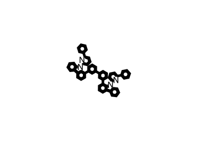 c1ccc(-c2cccc(-n3c4ccccc4c4cccc(-c5cccc(-c6cccc(-c7cccc8c9ccccc9n(-c9cccc(-c%10ccccc%10)n9)c78)c6)c5)c43)n2)cc1